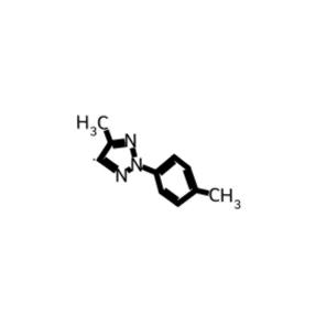 Cc1ccc(-n2n[c]c(C)n2)cc1